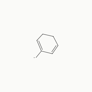 [CH2]C1=CCCC=C1